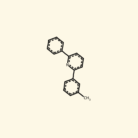 Cc1cccc(-c2cccc(-c3ccccc3)n2)c1